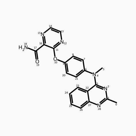 Cc1nc(N(C)c2ccc(Oc3nccnc3C(N)=O)cc2)c2ccccc2n1